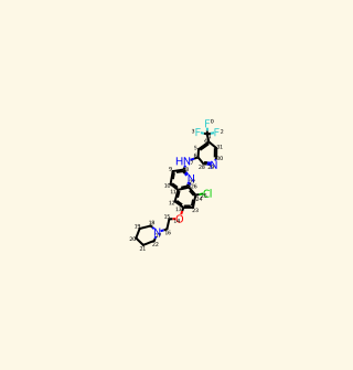 FC(F)(F)C1=CC(Nc2ccc3cc(OCCN4CCCCC4)cc(Cl)c3n2)C=NC=C1